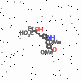 CCC(C(=O)O)C(O)CCCc1ccc2[nH]cc(Cc3ccc(C(=O)OC)cc3OC)c2c1